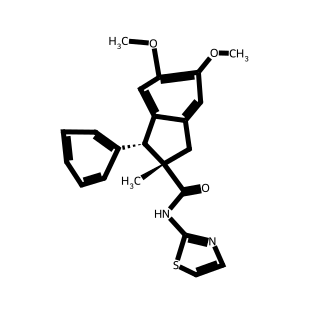 COc1cc2c(cc1OC)[C@@H](c1ccccc1)[C@@](C)(C(=O)Nc1nccs1)C2